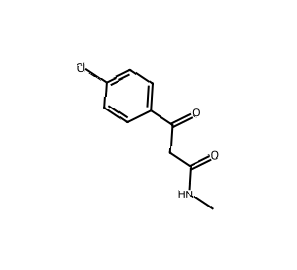 CNC(=O)CC(=O)c1ccc(Cl)cc1